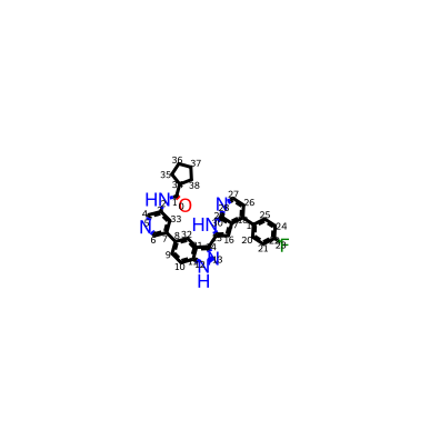 O=C(Nc1cncc(-c2ccc3[nH]nc(-c4cc5c(-c6ccc(F)cc6)ccnc5[nH]4)c3c2)c1)C1CCCC1